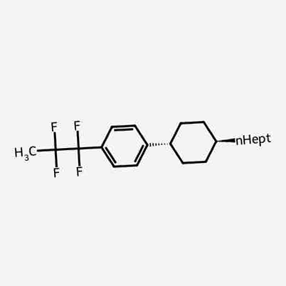 CCCCCCC[C@H]1CC[C@H](c2ccc(C(F)(F)C(C)(F)F)cc2)CC1